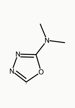 CN(C)c1nn[c]o1